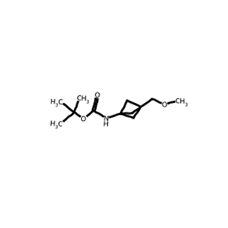 COCC12CC(NC(=O)OC(C)(C)C)(C1)C2